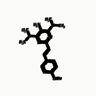 COc1ccc(C=Cc2nc(N(C)C)c(N)c(N(C)C)n2)cc1